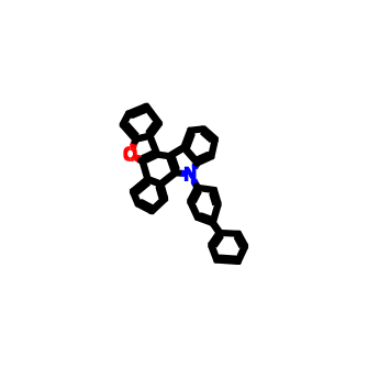 c1ccc(-c2ccc(-n3c4ccccc4c4c5c6ccccc6oc5c5ccccc5c43)cc2)cc1